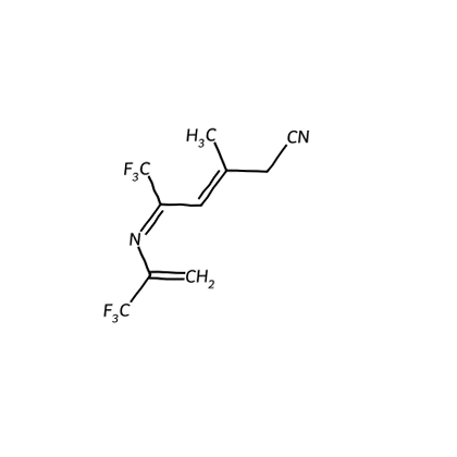 C=C(/N=C(\C=C(/C)CC#N)C(F)(F)F)C(F)(F)F